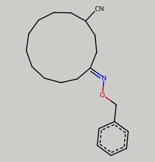 N#CC1CCCCCCCCCC(=NOCc2ccccc2)CC1